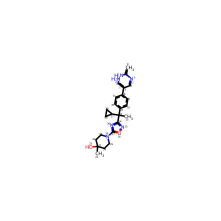 C=C(N)/N=C\C(=C/N)c1ccc(C(C)(c2noc(N3CCC(C)(O)CC3)n2)C2CC2)cc1